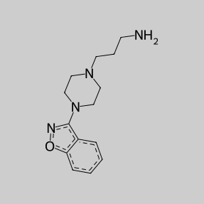 NCCCN1CCN(c2noc3ccccc23)CC1